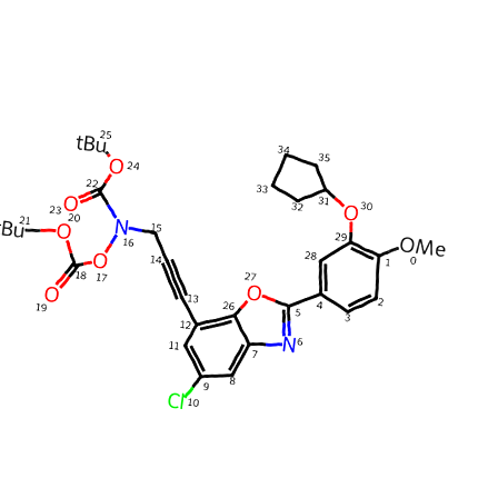 COc1ccc(-c2nc3cc(Cl)cc(C#CCN(OC(=O)OC(C)(C)C)C(=O)OC(C)(C)C)c3o2)cc1OC1CCCC1